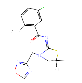 COc1ccc(Cl)cc1C(=O)N=C1SC(C)(C)CN1Cc1ncon1